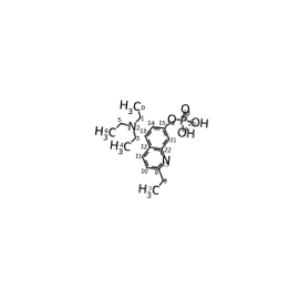 CCN(CC)CC.CCc1ccc2ccc(OP(=O)(O)O)cc2n1